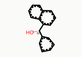 O[C@@H](c1ccccc1)c1cccc2ccccc12